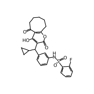 O=C1CCCCCc2oc(=O)c(C(c3cccc(NS(=O)(=O)c4ccccc4F)c3)C3CC3)c(O)c21